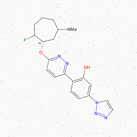 CNC1CCCC(F)[C@@H](Oc2ccc(-c3ccc(-n4ccnn4)cc3O)nn2)C1